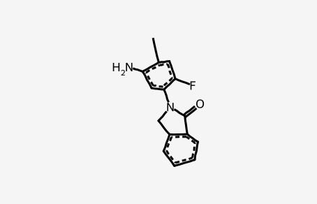 Cc1cc(F)c(N2Cc3ccccc3C2=O)cc1N